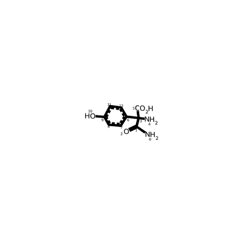 NC(=O)C(N)(C(=O)O)c1ccc(O)cc1